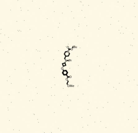 COCCOC(=O)c1ccc(O[C@H]2C[C@H](N(CC3CCN(C(=O)OC(C)(C)C)CC3)C(C)C)C2)cc1